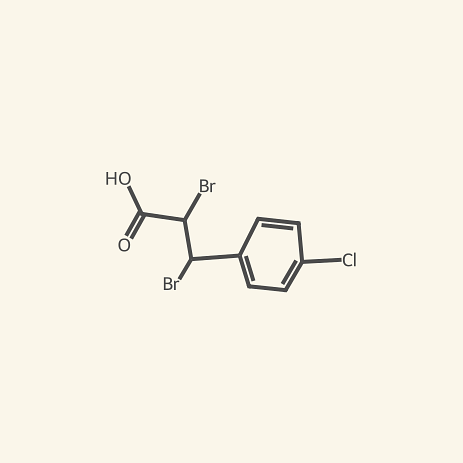 O=C(O)C(Br)C(Br)c1ccc(Cl)cc1